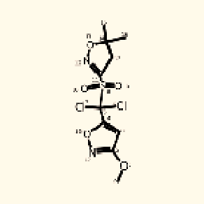 COc1cc(C(Cl)(Cl)S(=O)(=O)C2=NOC(C)(C)C2)on1